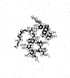 COc1cc([C@@H]2c3cc4c(cc3C(O[C@@H]3O[C@@H]5CO[C@@H](C)O[C@H]5[C@H](O)[C@H]3O)[C@H]3COC(=O)[C@H]23)OCO4)cc(OC)c1O.Cc1c(N)nc([C@H](CC(N)=O)NC[C@H](N)C(N)=O)nc1C(=O)N[C@H](C(=O)N[C@H](C)[C@@H](O)[C@H](C)C(=O)N[C@H](C(=O)NCCc1nc(-c2nc(C(=O)NCCC[S+](C)C)cs2)cs1)[C@@H](C)O)C(O[C@@H]1O[C@@H](CO)[C@@H](O)[C@H](O)[C@@H]1O[C@H]1O[C@H](CO)[C@@H](O)[C@H](OC(N)=O)[C@H]1O)c1cnc[nH]1.[Cl][Pt+2][Cl].[NH2-].[NH2-]